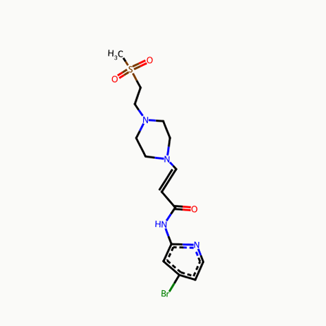 CS(=O)(=O)CCN1CCN(C=CC(=O)Nc2cc(Br)ccn2)CC1